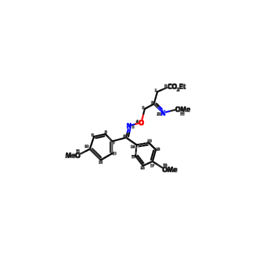 CCOC(=O)CC(CON=C(c1ccc(OC)cc1)c1ccc(OC)cc1)=NOC